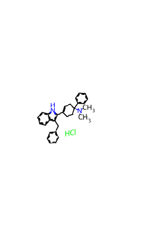 CN(C)C1(c2ccccc2)CC=C(c2[nH]c3ccccc3c2Cc2ccccc2)CC1.Cl